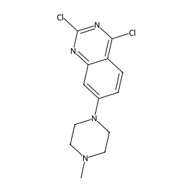 CN1CCN(c2ccc3c(Cl)nc(Cl)nc3c2)CC1